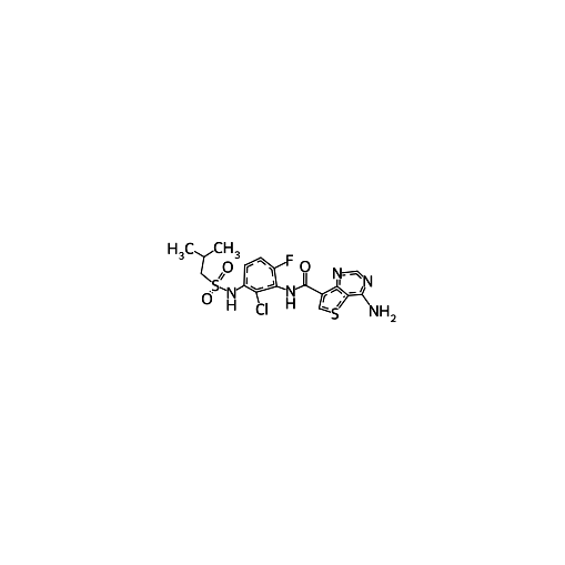 CC(C)CS(=O)(=O)Nc1ccc(F)c(NC(=O)c2csc3c(N)ncnc23)c1Cl